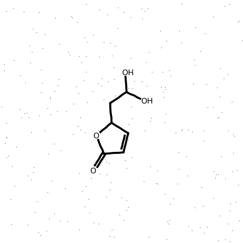 O=C1C=CC(CC(O)O)O1